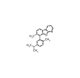 Cc1ccc2c(oc3ncccc32)c1-c1cc(C(C)C)cc[n+]1C